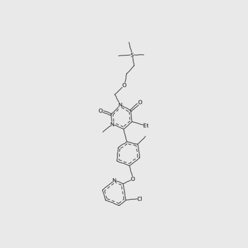 CCc1c(-c2ccc(Oc3ncccc3Cl)cc2C)n(C)c(=O)n(COCCS(C)(C)C)c1=O